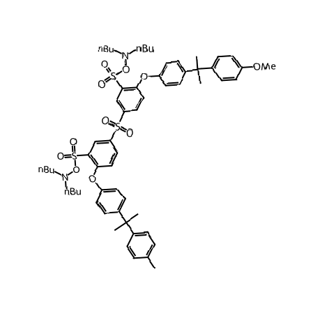 CCCCN(CCCC)OS(=O)(=O)c1cc(S(=O)(=O)c2ccc(Oc3ccc(C(C)(C)c4ccc(OC)cc4)cc3)c(S(=O)(=O)ON(CCCC)CCCC)c2)ccc1Oc1ccc(C(C)(C)c2ccc(C)cc2)cc1